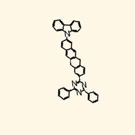 c1ccc(-c2nc(-c3ccccc3)nc(-c3ccc4c(c3)Cc3cc5ccc(-n6c7ccccc7c7ccccc76)cc5cc3C4)n2)cc1